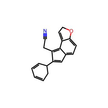 N#CCC1=c2c(ccc3c2=CCO3)C=C1C1C=CC=CC1